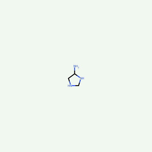 NC1CNCN1